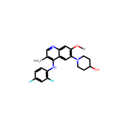 CCOC(=O)c1cnc2cc(OCC)c(N3CCC(O)CC3)cc2c1Nc1ccc(F)cc1F